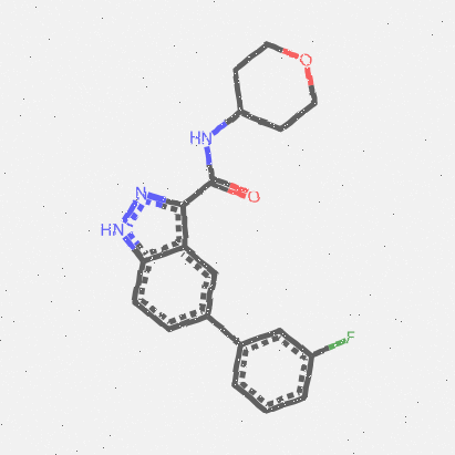 O=C(NC1CCOCC1)c1n[nH]c2ccc(-c3cccc(F)c3)cc12